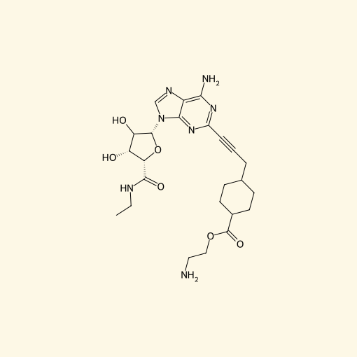 CCNC(=O)[C@H]1O[C@@H](n2cnc3c(N)nc(C#CCC4CCC(C(=O)OCCN)CC4)nc32)C(O)[C@H]1O